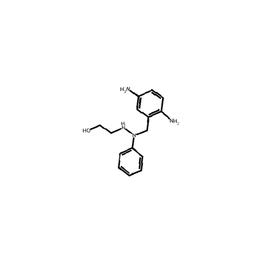 Nc1ccc(N)c(CN(NCCO)c2ccccc2)c1